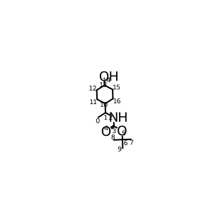 CC(NC(=O)OC(C)(C)C)C1CCC(O)CC1